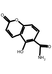 NC(=O)c1ccc2oc(=O)ccc2c1O